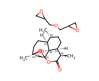 C(OCC1CO1)C1CO1.C[C@@H]1CC[C@H]2[C@@H](C)C(=O)O[C@@H]3O[C@]4(C)CC[C@@H]1[C@]32OO4